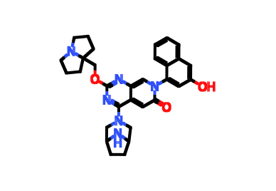 O=c1cc2c(N3CC4CCC(C3)N4)nc(OCC34CCCN3CCC4)nc2cn1-c1cc(O)cc2ccccc12